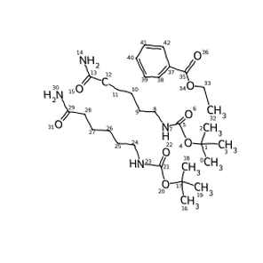 CC(C)(C)OC(=O)NCCCCCC(N)=O.CC(C)(C)OC(=O)NCCCCCC(N)=O.CCOC(=O)c1ccccc1